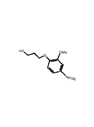 COc1cc(NC(C)=O)ccc1OCCCO